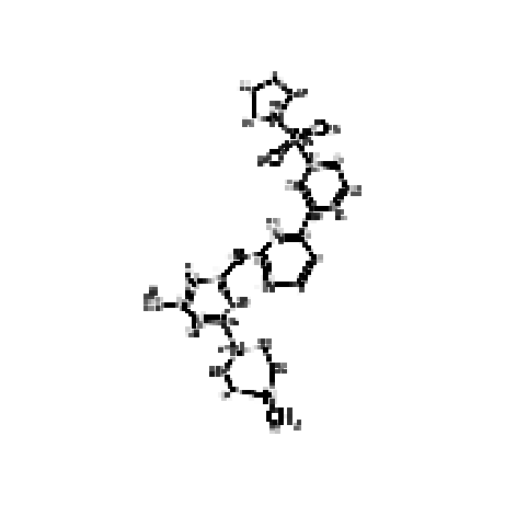 CCc1nc(Sc2nccc(-c3cccc(S(=O)(=O)N4CCCC4)c3)n2)nc(N2CCN(C)CC2)n1